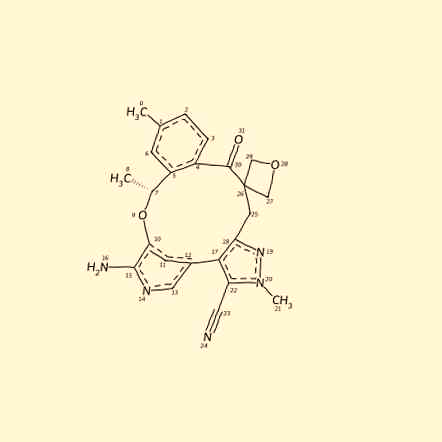 Cc1ccc2c(c1)[C@@H](C)Oc1cc(cnc1N)-c1c(nn(C)c1C#N)CC1(COC1)C2=O